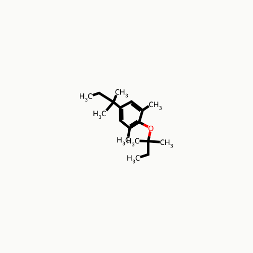 CCC(C)(C)Oc1c(C)cc(C(C)(C)CC)cc1C